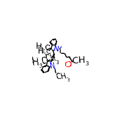 CCCN1/C(=C/C=C/C2=[N+](CCCCCC(C)=O)c3ccccc3C2(C)C)C(C)(C)c2ccccc21